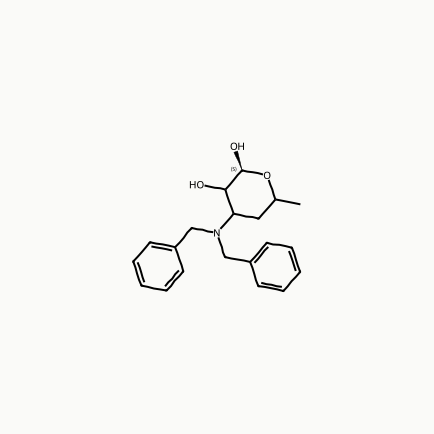 CC1CC(N(Cc2ccccc2)Cc2ccccc2)C(O)[C@@H](O)O1